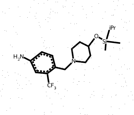 CC(C)[Si](C)(C)OC1CCN(Cc2ccc(N)cc2C(F)(F)F)CC1